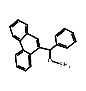 [SiH3]OC(c1ccccc1)c1cc2ccccc2c2ccccc12